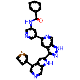 O=C(Nc1cncc(-c2cc3c(-c4cc5c(-c6ccsc6)cncc5[nH]4)n[nH]c3cn2)c1)c1ccccc1